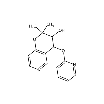 CC1(C)Oc2ccncc2C(Oc2ccccn2)C1O